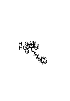 CC(C)/C(C(=O)O)=C(/CCCCCN1CCOCC1)C(=O)O